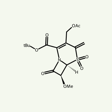 C=C1C(COC(C)=O)=C(C(=O)OC(C)(C)C)N2C(=O)[C@H](OC)[C@@H]2S1(=O)=O